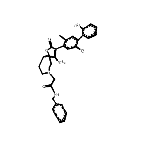 Cc1cc(-c2ccccc2O)c(Cl)cc1C1=C(N)C2(CCCN(CC(=O)NCc3ccccc3)C2)OC1=O